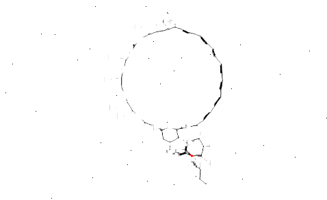 C[C@@H]1[C@H](O)[C@@H](C)/C=C/C=C/C=C/C=C/C=C/C=C/C=C/[C@H](O[C@@H]2O[C@H](C)[C@@H](O)[C@H](N)[C@@H]2O)C[C@@H]2O[C@](O)(C[C@@H](O)C[C@@H](O)[C@H](O)CC[C@@H](O)C[C@@H](O)CC(=O)O[C@H]1C)C[C@H](O)[C@H]2NC(=O)NCCCF